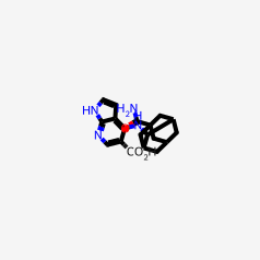 NC(=O)C12CC3CC(C1)C(Nc1c(C(=O)O)cnc4[nH]ccc14)C(C3)C2